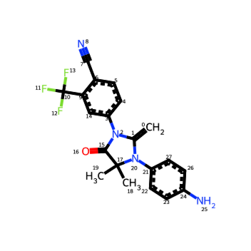 C=C1N(c2ccc(C#N)c(C(F)(F)F)c2)C(=O)C(C)(C)N1c1ccc(N)cc1